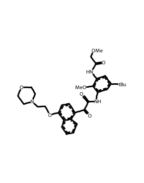 COCC(=O)Nc1cc(C(C)(C)C)cc(NC(=O)C(=O)c2ccc(OCCN3CCOCC3)c3ccccc23)c1OC